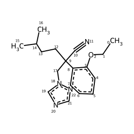 CCOc1ccccc1C(C#N)(CCC(C)C)Cn1cncn1